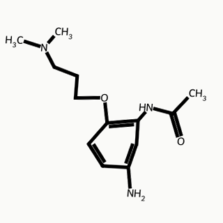 CC(=O)Nc1cc(N)ccc1OCCCN(C)C